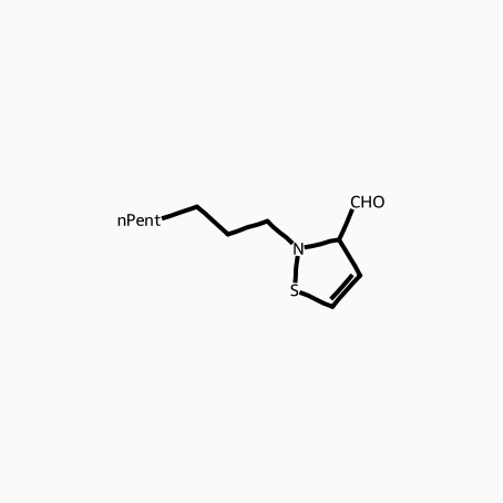 CCCCCCCCN1SC=CC1C=O